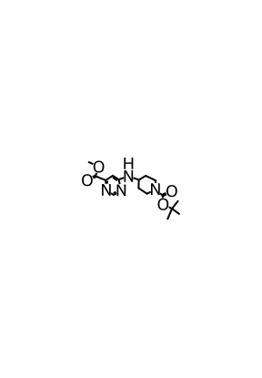 COC(=O)c1cc(NC2CCN(C(=O)OC(C)(C)C)CC2)ncn1